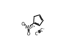 [C-]#[C-].[O]=[Mo+2](=[O])[C]1=CC=CC1